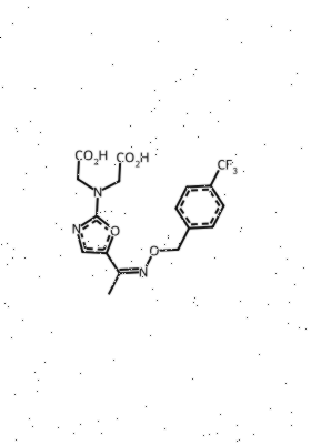 CC(=NOCc1ccc(C(F)(F)F)cc1)c1cnc(N(CC(=O)O)CC(=O)O)o1